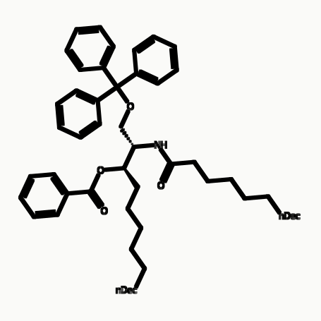 CCCCCCCCCCCCCCCC(=O)N[C@@H](COC(c1ccccc1)(c1ccccc1)c1ccccc1)[C@@H](CCCCCCCCCCCCCCC)OC(=O)c1ccccc1